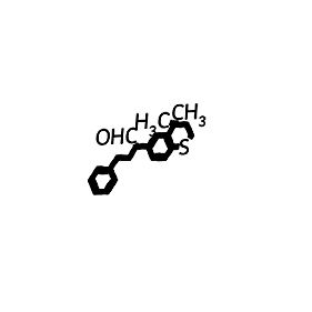 CC1(C)CCSc2ccc(C(C=O)CCc3ccccc3)cc21